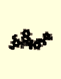 COc1cc(Nc2nc3c(nc2NS(=O)(=O)c2cccc(NC(=O)c4ncc[nH]4)c2)C=CCC3)cc(OC)c1